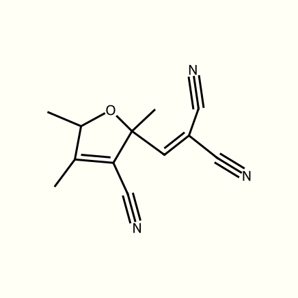 CC1=C(C#N)C(C)(C=C(C#N)C#N)OC1C